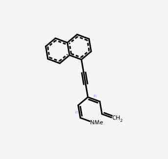 C=C/C=C(C#Cc1cccc2ccccc12)\C=C/NC